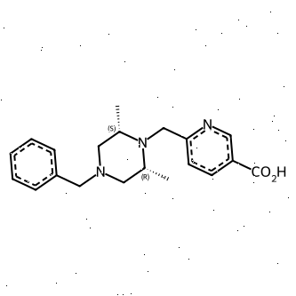 C[C@@H]1CN(Cc2ccccc2)C[C@H](C)N1Cc1ccc(C(=O)O)cn1